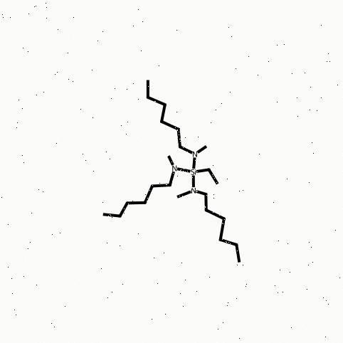 CCCCCCN(C)[Si](CC)(N(C)CCCCCC)N(C)CCCCCC